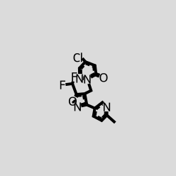 Cc1ccc(-c2noc(C(F)F)c2Cn2ncc(Cl)cc2=O)cn1